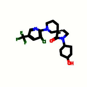 O=C1N(C2CCC(O)CC2)CC[C@]12CCCN(c1ncc(C(F)(F)F)cc1Cl)C2